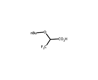 CCCCOC(C(=O)O)C(F)(F)F